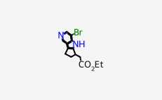 CCOC(=O)CC1CCc2c1[nH]c1c(Br)cncc21